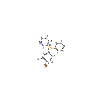 Cc1cc(P(c2ccccc2)c2cccnc2)ccc1Br